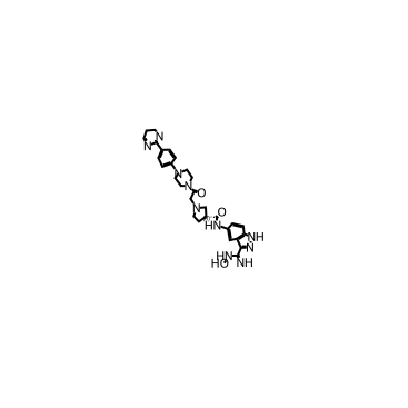 N=C(NO)c1n[nH]c2ccc(NC(=O)[C@@H]3CCN(CC(=O)N4CCN(c5ccc(C6=NCCC=N6)cc5)CC4)C3)cc12